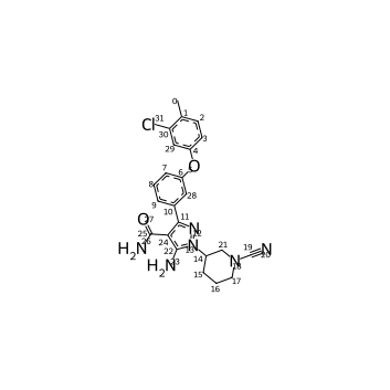 Cc1ccc(Oc2cccc(-c3nn(C4CCCN(C#N)C4)c(N)c3C(N)=O)c2)cc1Cl